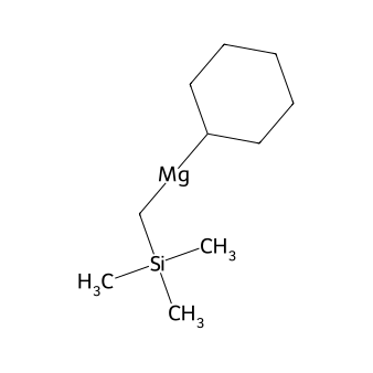 C[Si](C)(C)[CH2][Mg][CH]1CCCCC1